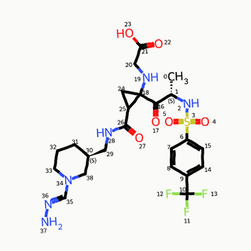 C[C@H](NS(=O)(=O)c1ccc(C(F)(F)F)cc1)C(=O)C1(NCC(=O)O)CC1C(=O)NC[C@@H]1CCCN(C=NN)C1